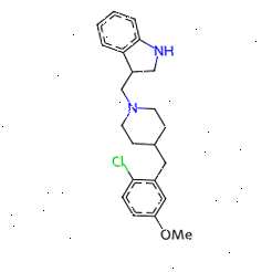 COc1ccc(Cl)c(CC2CCN(CC3CNc4ccccc43)CC2)c1